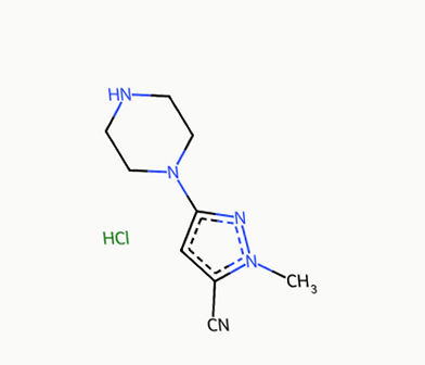 Cl.Cn1nc(N2CCNCC2)cc1C#N